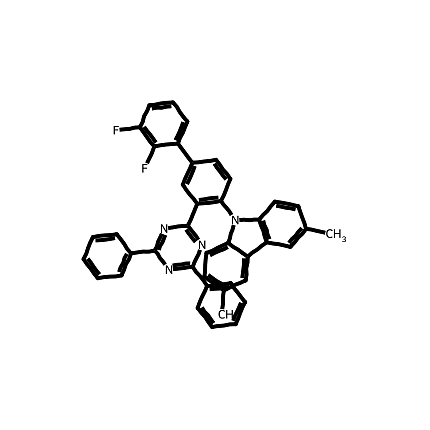 Cc1ccc2c(c1)c1cc(C)ccc1n2-c1ccc(-c2cccc(F)c2F)cc1-c1nc(-c2ccccc2)nc(-c2ccccc2)n1